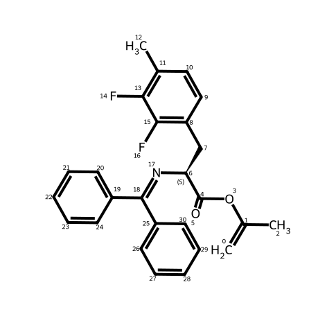 C=C(C)OC(=O)[C@H](Cc1ccc(C)c(F)c1F)N=C(c1ccccc1)c1ccccc1